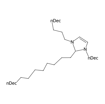 CCCCCCCCCCCCCCCCCCC1N(CCCCCCCCCC)C=CN1CCCCCCCCCCCCC